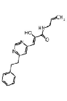 C=CCNC(=O)/C(O)=C/c1cc(CCc2ccccc2)ncn1